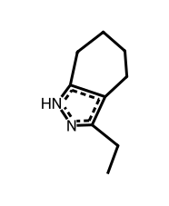 CCc1n[nH]c2c1CCCC2